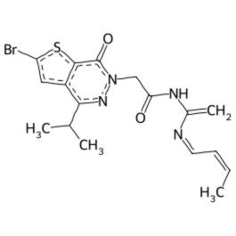 C=C(/N=C\C=C/C)NC(=O)Cn1nc(C(C)C)c2cc(Br)sc2c1=O